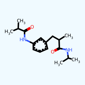 CC(C)NC(=O)C(C)Cc1cccc(NC(=O)C(C)C)c1